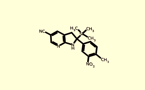 Cc1ccc(C2([Si](C)(C)C)Cc3cc(C#N)cnc3N2)cc1[N+](=O)[O-]